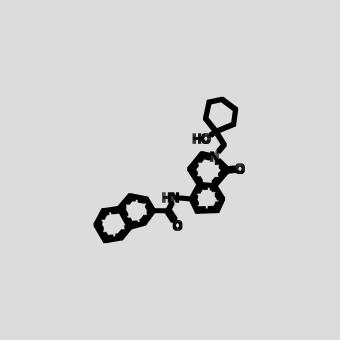 O=C(Nc1cccc2c(=O)n(CC3(O)CCCCC3)ccc12)c1ccc2ccccc2c1